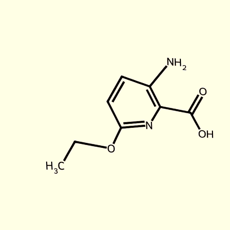 CCOc1ccc(N)c(C(=O)O)n1